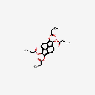 CCCCCCCCCCCC(=O)OC1=c2ccc3c4c(ccc(c24)=C1OC(=O)CCCCCCCCCCC)=C(OC(=O)CCCCCCCCCCC)C=3OC(=O)CCCCCCCCCCC